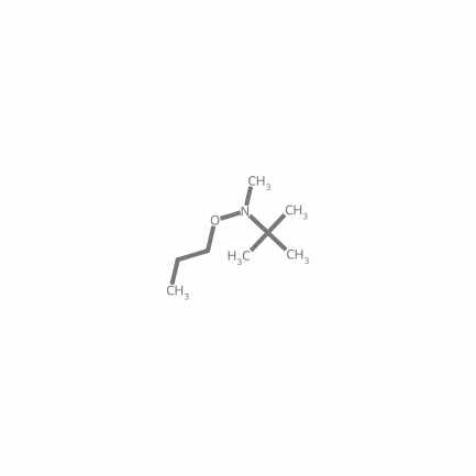 CCCON(C)C(C)(C)C